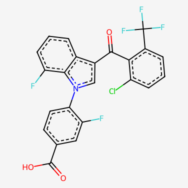 O=C(O)c1ccc(-n2cc(C(=O)c3c(Cl)cccc3C(F)(F)F)c3cccc(F)c32)c(F)c1